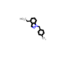 O=C(O)Cc1cccc2c1cnn2Cc1ccc(C(F)(F)F)cc1